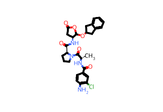 C[C@H](NC(=O)c1ccc(N)c(Cl)c1)C(=O)N1CCC[C@H]1C(=O)N[C@H]1CC(=O)OC1OC1Cc2ccccc2C1